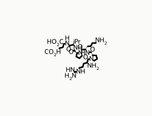 CC(C)[C@H](NC(=O)[C@@H]1CCCN1C(=O)[C@H](CCCCN)NC(=O)[C@@H]1CCCN1C(=O)[C@@H](N)CCCNC(=N)N)C(=O)N[C@@H](CCC(=O)O)C(=O)O